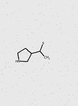 CC([S])C1CCNC1